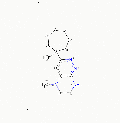 BC1(c2cc3c(nn2)NCCN3C)CCCCCC1